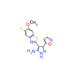 COc1cc2sc(-c3c(-c4ccno4)n[nH]c3N)nc2cc1F